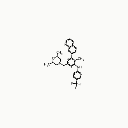 Cc1c(Nc2ccc(C(F)(F)F)cn2)nc(CN2CC(C)OC(C)C2)nc1-c1ccc2cccnc2c1